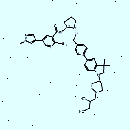 Cn1cc(-c2cnc(N)c(C(=O)N[C@H]3CCC[C@@H]3OCc3ccc(-c4ccc5c(c4)C(C)(C)CN5C4CCN(CC(O)CO)CC4)cc3)c2)cn1